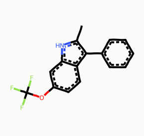 Cc1[nH]c2cc(OC(F)(F)F)ccc2c1-c1ccccc1